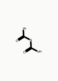 CCCC(=O)[N]C(=O)C(C)C